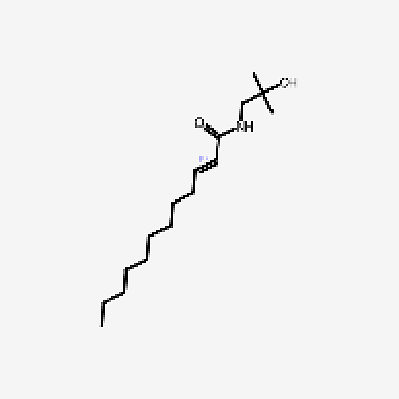 CCCCCCCCC/C=C/C(=O)NCC(C)(C)O